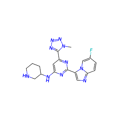 Cn1nnnc1-c1cc(NC2CCCNC2)nc(-c2cnc3ccc(F)cn23)n1